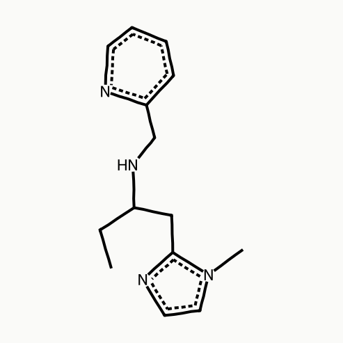 CCC(Cc1nccn1C)NCc1ccccn1